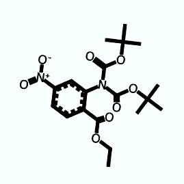 CCOC(=O)c1ccc([N+](=O)[O-])cc1N(C(=O)OC(C)(C)C)C(=O)OC(C)(C)C